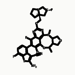 CC1Oc2c(Cl)c(-c3ccc(F)c4sc(N)c(C#N)c34)c(F)c3nc(OC[C@@]45CCCN4C[C@H](F)C5)nc(c23)N(C)C2COCC12